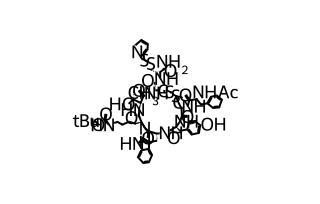 CC(=O)N[C@H](Cc1ccccc1)C(=O)N[C@H]1CSSC[C@@H](C(=O)N[C@H](CSSc2ccccn2)C(N)=O)NC(=O)[C@H]([C@@H](C)O)NC(=O)[C@H](CCCCNC(=O)OC(C)(C)C)NC(=O)[C@@H](Cc2c[nH]c3ccccc23)NC(=O)[C@H](Cc2ccc(O)cc2)NC1=O